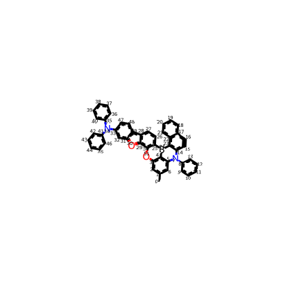 Cc1cc2c3c(c1)N(c1ccccc1)c1c#cc4ccccc4c1B3c1ccc3c(oc4cc(N(c5ccccc5)c5ccccc5)ccc43)c1O2